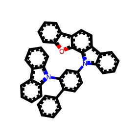 c1ccc(-c2ccc(-n3c4ccccc4c4ccc5c6ccccc6oc5c43)cc2-n2c3ccccc3c3ccccc32)cc1